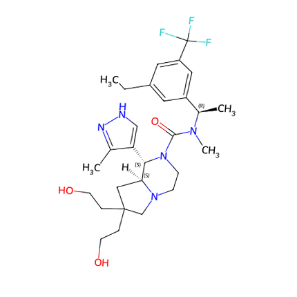 CCc1cc([C@@H](C)N(C)C(=O)N2CCN3CC(CCO)(CCO)C[C@H]3[C@@H]2c2c[nH]nc2C)cc(C(F)(F)F)c1